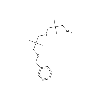 CC(C)(CN)COCC(C)(C)COCc1cccnc1